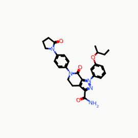 CCC(C)Oc1cccc(-n2nc(C(N)=O)c3c2C(=O)N(c2ccc(N4CCCC4=O)cc2)CC3)c1